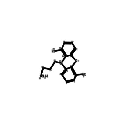 CCc1cccc2c1Oc1cccc(CC)c1N2CCCS(=O)(=O)O